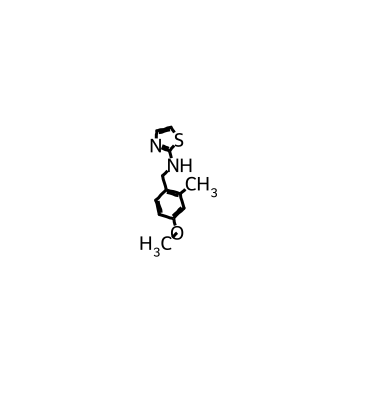 COc1ccc(CNc2nccs2)c(C)c1